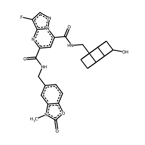 Cn1c(=O)oc2ccc(CNC(=O)c3cc(C(=O)NCC45C6C7C4C4C5C6C74O)n4ncc(F)c4n3)cc21